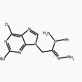 CC(C)N(N)/C(Cn1cnc2c(Cl)nc(C(C)(C)C)nc21)=N\N